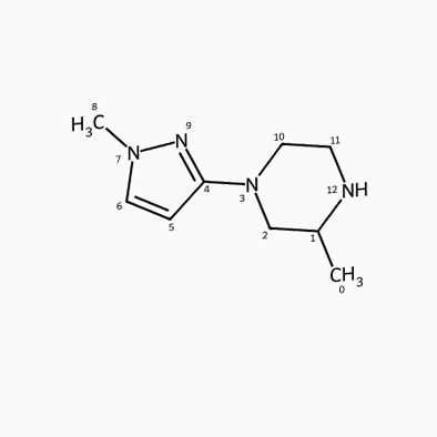 CC1CN(c2ccn(C)n2)CCN1